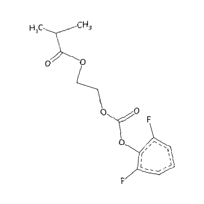 CC(C)C(=O)OCCOC(=O)Oc1c(F)cccc1F